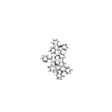 c1ccc(-n2c3c(c4ccccc42)-c2ccccc2N(c2cc(-c4ccccn4)cc(N4c5ccccc5-c5c(n(-c6ccccc6)c6ccccc56)-c5ccccc54)c2)c2ccccc2-3)cc1